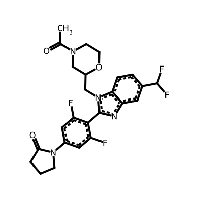 CC(=O)N1CCOC(Cn2c(-c3c(F)cc(N4CCCC4=O)cc3F)nc3cc(C(F)F)ccc32)C1